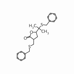 CC(C)(SCc1ccccc1)C1CC(CSCc2ccccc2)C(=O)O1